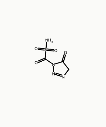 NS(=O)(=O)C(=O)N1N=NCC1=O